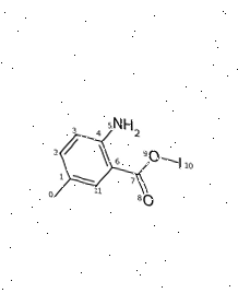 Cc1ccc(N)c(C(=O)OI)c1